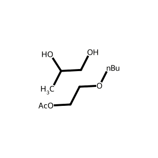 CC(O)CO.CCCCOCCOC(C)=O